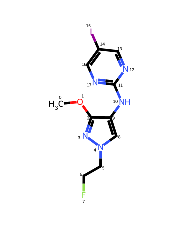 COc1nn(CCF)cc1Nc1ncc(I)cn1